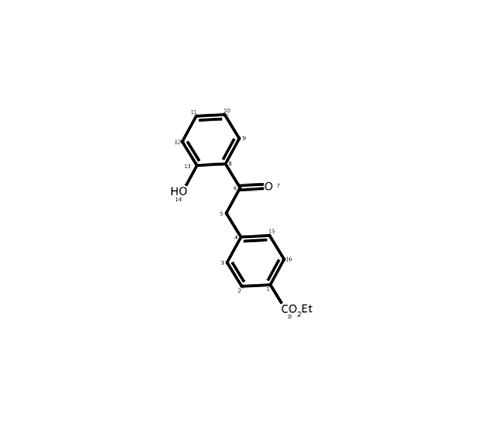 CCOC(=O)c1ccc(CC(=O)c2c[c]ccc2O)cc1